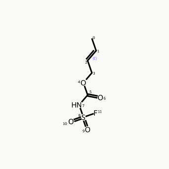 C/C=C/COC(=O)NS(=O)(=O)F